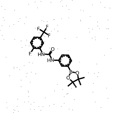 CC1(C)OB(c2cccc(NC(=O)Nc3cc(C(F)(F)F)ccc3F)c2)OC1(C)C